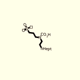 CCCCCCCCCN(CCCS(=O)(=O)Cl)C(=O)O